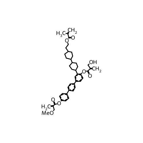 C=C(C)C(=O)OCCC1CCC(C2CCC(c3cc(-c4ccc(-c5ccc(OC(=O)C(=C)COC)cc5)cc4)ccc3OC(=O)C(=C)CO)CC2)CC1